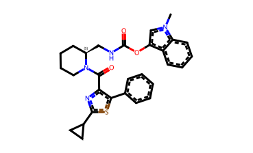 Cn1cc(OC(=O)NC[C@@H]2CCCCN2C(=O)c2nc(C3CC3)sc2-c2ccccc2)c2ccccc21